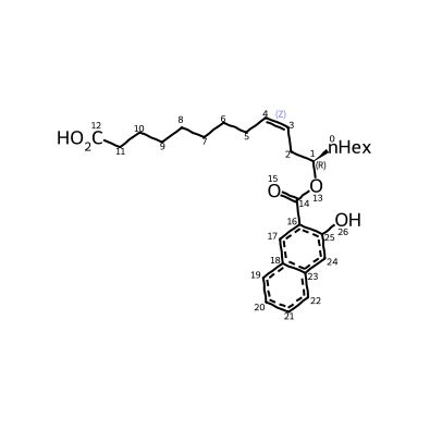 CCCCCC[C@H](C/C=C\CCCCCCCC(=O)O)OC(=O)c1cc2ccccc2cc1O